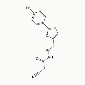 N#CCC(=O)NNCc1ccc(-c2ccc(Br)cc2)o1